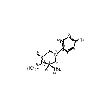 C[C@H]1CN(c2ccc(Cl)nn2)C[C@@](C)(C(C)(C)C)N1C(=O)O